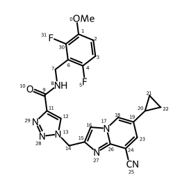 COc1ccc(F)c(CNC(=O)c2cn(Cc3cn4cc(C5CC5)cc(C#N)c4n3)nn2)c1F